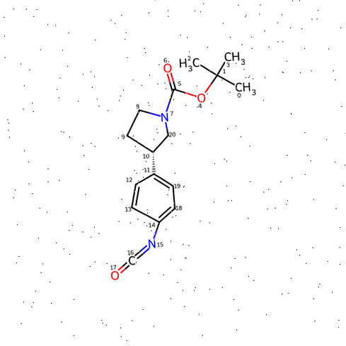 CC(C)(C)OC(=O)N1CC[C@@H](c2ccc(N=C=O)cc2)C1